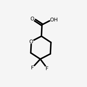 O=C(O)C1CCC(F)(F)CO1